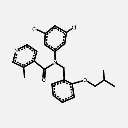 Cc1cnccc1C(=O)N(Cc1ccccc1OCC(C)C)c1cc(Cl)cc(Cl)c1